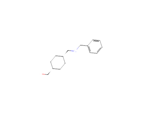 OC[C@H]1CC[C@@H](CNCc2ccccc2)CC1